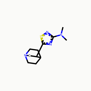 CN(C)c1nsc(C2CN3CCC2CC3)n1